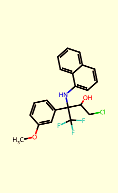 COc1cccc(C(Nc2cccc3ccccc23)(C(O)CCl)C(F)(F)F)c1